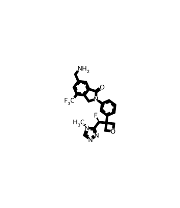 Cn1cnnc1[C@@H](F)C1(c2cccc(N3Cc4c(cc(CN)cc4C(F)(F)F)C3=O)c2)COC1